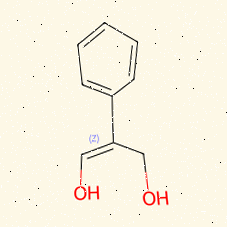 O/C=C(\CO)c1ccccc1